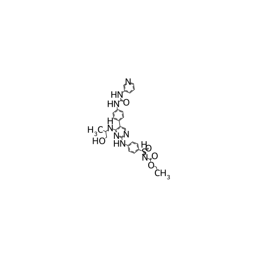 CCOC(=O)N=[SH](=O)c1ccc(Nc2ncc(-c3ccc(NC(=O)Nc4cccnc4)cc3)c(NC(C)CO)n2)cc1